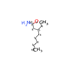 CCCCCC(CC)CC(N)=O